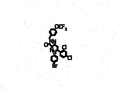 O=c1c2nn(-c3ccc(Br)cc3)c(-c3ccc(Cl)cc3Cl)cc-2nn1Cc1ccc(OC(F)(F)F)cc1